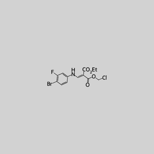 CCOC(=O)/C(=C\Nc1ccc(Br)c(F)c1)C(=O)OCCl